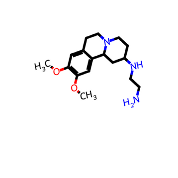 COc1cc2c(cc1OC)C1CC(NCCN)CCN1CC2